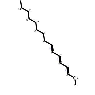 [CH2]O/C=C/C=C/C=C/CCCCCCCC